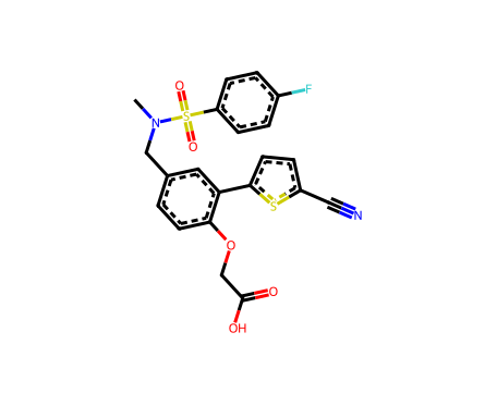 CN(Cc1ccc(OCC(=O)O)c(-c2ccc(C#N)s2)c1)S(=O)(=O)c1ccc(F)cc1